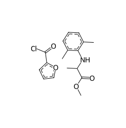 COC(=O)C(C)Nc1c(C)cccc1C.O=C(Cl)c1ccco1